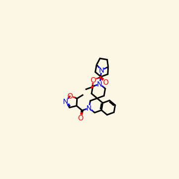 CCOC(=O)N1C2CCC1CC(N1CCC3(CC1)CN(C(=O)C1C=NOC1C)CC1=C3C=CCC1)C2